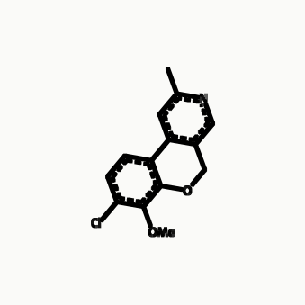 COc1c(Cl)ccc2c1OCc1cnc(C)cc1-2